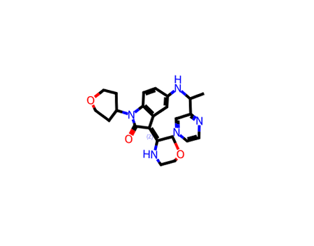 CC(Nc1ccc2c(c1)/C(=C1\COCCN1)C(=O)N2C1CCOCC1)c1cnccn1